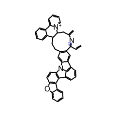 C=C/C1=N/C(=C)CC2C(CCc3cc4c(cc31)c1cccc3c5c6c(ccc5n4c13)oc1ccccc16)c1ccccc1-c1cccc[n+]12